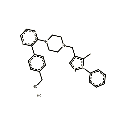 Cc1c(CN2CCN(c3nccnc3-c3ccc(CC#N)cc3)CC2)cnn1-c1ccccc1.Cl